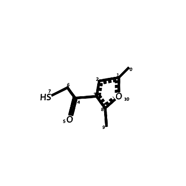 Cc1cc(C(=O)CS)c(C)o1